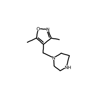 Cc1noc(C)c1CN1CCNCC1